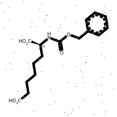 O=C(O)CCCCC[C@H](NC(=O)OCc1ccccc1)C(=O)O